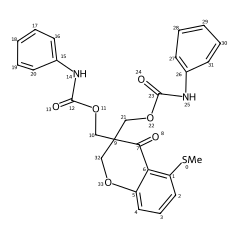 CSc1cccc2c1C(=O)C(COC(=O)Nc1ccccc1)(COC(=O)Nc1ccccc1)CO2